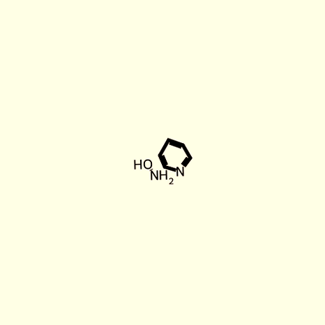 NO.c1ccncc1